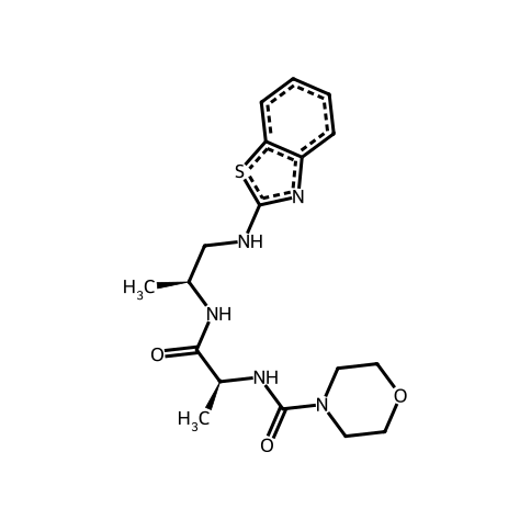 C[C@H](NC(=O)N1CCOCC1)C(=O)N[C@@H](C)CNc1nc2ccccc2s1